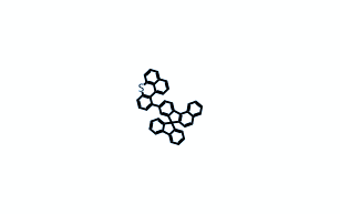 c1ccc2c(c1)-c1ccccc1C21c2cc(-c3cccc4c3-c3cccc5cccc(c35)S4)ccc2-c2c1ccc1ccccc21